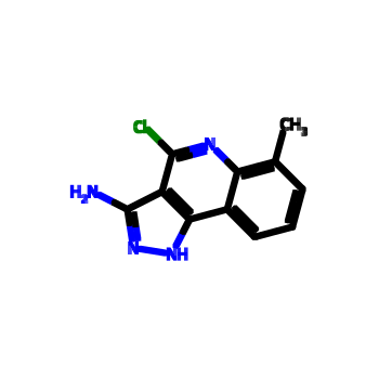 Cc1cccc2c1nc(Cl)c1c(N)n[nH]c12